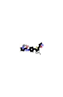 Cc1cc(-c2ccno2)sc1-c1ccc(NC(=O)C2CC=CN2C)cc1